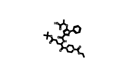 CCOC(=O)N1CCN(C(=O)C(CCC(=O)OC(C)(C)C)NC(=O)c2cc(OC(C)C(=O)O)n(-c3ccccc3)n2)CC1